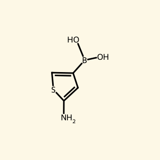 Nc1cc(B(O)O)cs1